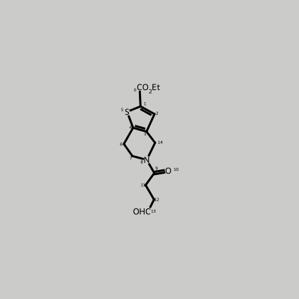 CCOC(=O)c1cc2c(s1)CCN(C(=O)CCC=O)C2